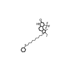 CCc1c(C)c2c3c(C(F)(F)F)cc(=O)[nH]c3ccc2n1CCCCCCCCCSc1ccccc1